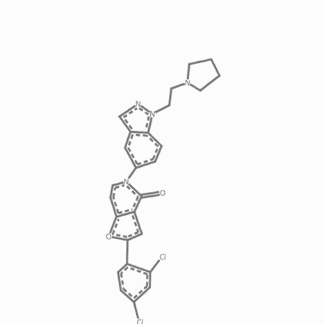 O=c1c2cc(-c3ccc(Cl)cc3Cl)oc2ccn1-c1ccc2c(cnn2CCN2CCCC2)c1